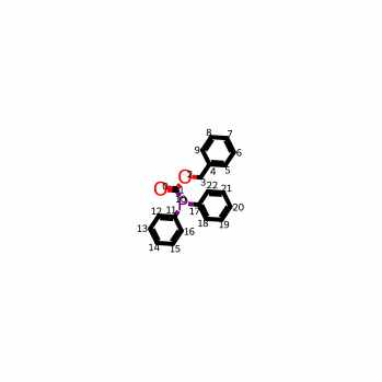 O=C(OCc1ccccc1)P(c1ccccc1)c1ccccc1